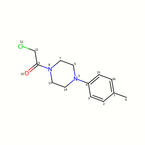 Cc1ccc(N2CCN(C(=O)CCl)CC2)cc1